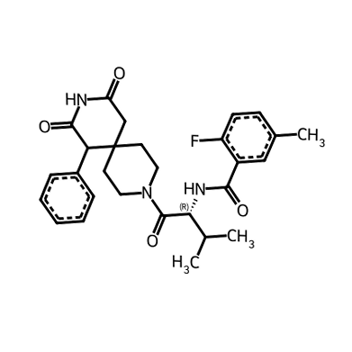 Cc1ccc(F)c(C(=O)N[C@@H](C(=O)N2CCC3(CC2)CC(=O)NC(=O)C3c2ccccc2)C(C)C)c1